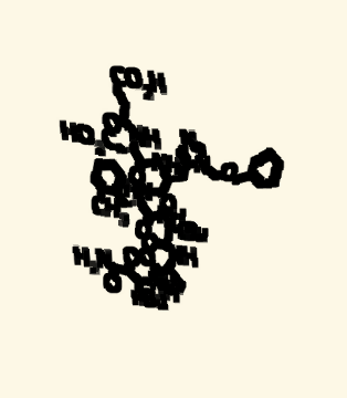 CCCCC(NC(=O)[C@H](CC(C)C)NC(=O)[C@@H](NC(=O)[C@H](Cc1ccccc1C)NC(=O)[C@H](Cc1cncn1COCc1ccccc1)NC(=O)[C@H](CC(=O)O)NC(=O)CCC(=O)O)C(C)(C)C)C(=O)C(N)=O